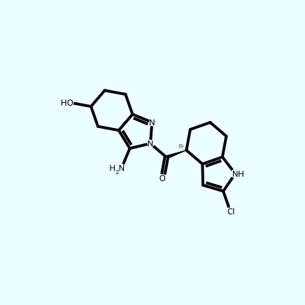 Nc1c2c(nn1C(=O)[C@H]1CCCc3[nH]c(Cl)cc31)CCC(O)C2